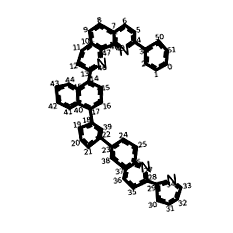 c1ccc(-c2ccc3ccc4ccc(-c5ccc(-c6cccc(-c7ccc8nc(-c9ccccn9)ccc8c7)c6)c6ccccc56)nc4c3n2)cc1